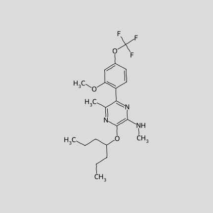 CCCC(CCC)Oc1nc(C)c(-c2ccc(OC(F)(F)F)cc2OC)nc1NC